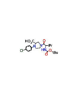 CC(C)C(NC(=O)OC(C)(C)C)C(=O)N1CCN(c2ccc(Cl)cc2)C(C(=O)O)C1